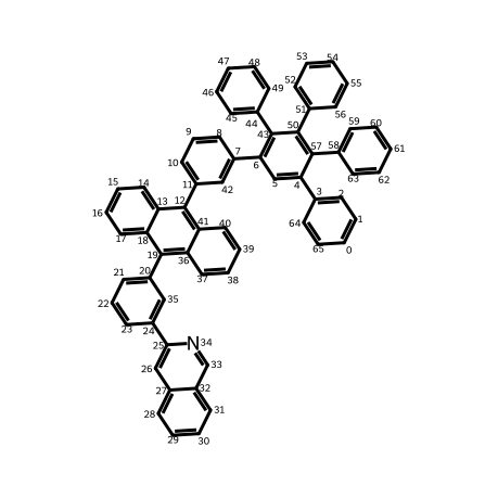 c1ccc(-c2cc(-c3cccc(-c4c5ccccc5c(-c5cccc(-c6cc7ccccc7cn6)c5)c5ccccc45)c3)c(-c3ccccc3)c(-c3ccccc3)c2-c2ccccc2)cc1